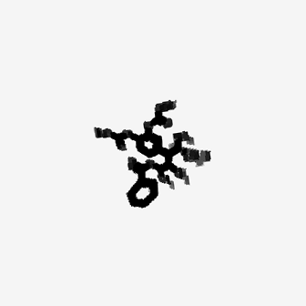 CC(C)COC(=O)Oc1ccc(C(C(C)C(C)OC(=O)C2CCCCC2)[C@H](N)C(=O)O)cc1OC(=O)OCC(C)C